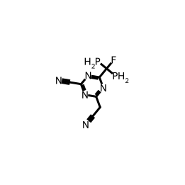 N#CCc1nc(C#N)nc(C(F)(P)P)n1